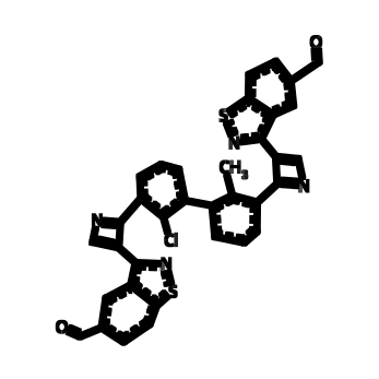 Cc1c(C2=NC=C2c2nsc3ccc(C=O)cc23)cccc1-c1cccc(C2=NC=C2c2nsc3ccc(C=O)cc23)c1Cl